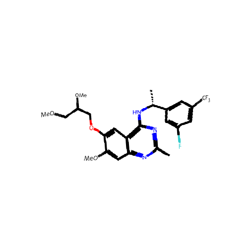 COCC(COc1cc2c(N[C@H](C)c3cc(F)cc(C(F)(F)F)c3)nc(C)nc2cc1OC)OC